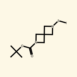 CC(C)(C)OC(=O)N1CC2(CN(SI)C2)C1